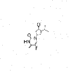 C=C1NC(=O)N(C2CC(OC)C(C(C)C)C2)C=C1F